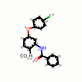 O=C(Nc1cc(Oc2ccc(F)cc2)ccc1C(=O)O)c1ccccc1